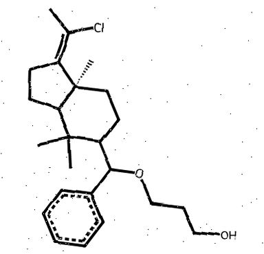 CC(Cl)=C1CCC2C(C)(C)C(C(OCCCO)c3ccccc3)CC[C@]12C